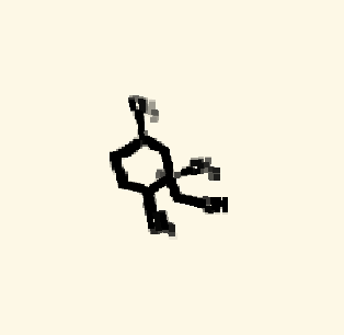 C=C1CCN(C)C[C@@]1(C)CO